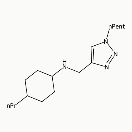 CCCCCn1cc(CNC2CCC(CCC)CC2)nn1